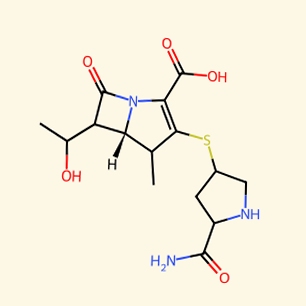 CC(O)C1C(=O)N2C(C(=O)O)=C(SC3CNC(C(N)=O)C3)C(C)[C@H]12